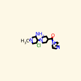 CN1CC(N)C(N2CCC(C(=O)N3CCN4CCC3CC4)CC2)C(Cl)C1